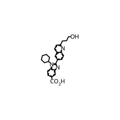 O=C(O)c1ccc2c(c1)nc(-c1ccc3nc(CCCO)ccc3c1)n2C1CCCCC1